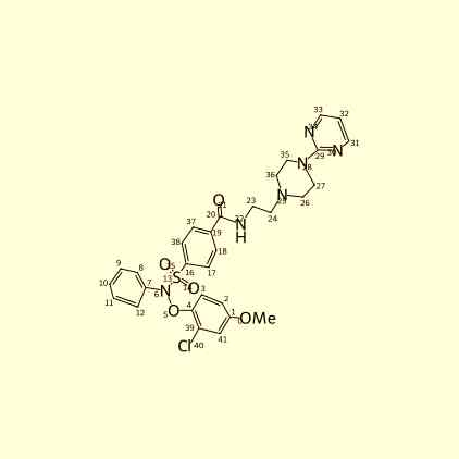 COc1ccc(ON(c2ccccc2)S(=O)(=O)c2ccc(C(=O)NCCN3CCN(c4ncccn4)CC3)cc2)c(Cl)c1